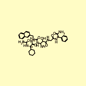 BC(=O)N[C@H](C(=O)N[C@@H](Cc1ccc2ccccc2c1)C(=O)NC(CCC)C(O)C(=O)NCC(=O)N[C@H](C(N)=O)c1ccccc1)C1CCCCC1